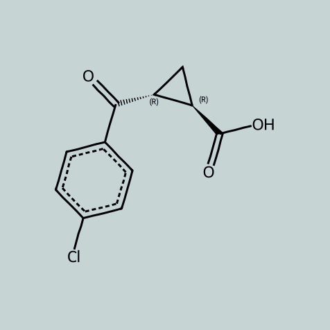 O=C(O)[C@@H]1C[C@H]1C(=O)c1ccc(Cl)cc1